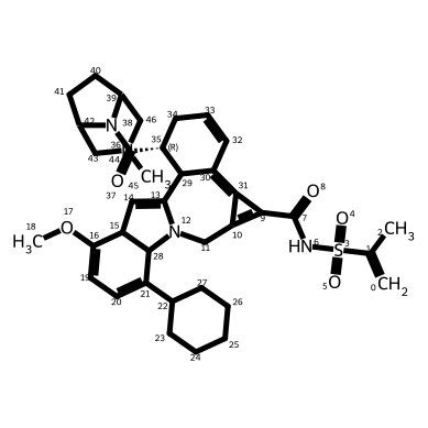 C=C(C)S(=O)(=O)NC(=O)C1=C2CN3C(=CC4C(OC)=CC=C(C5CCCCC5)C43)C3C(=C21)C=CC[C@H]3C(=O)N1C2CCC1CN(C)C2